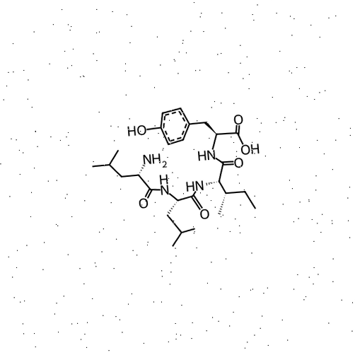 CC[C@H](C)[C@H](NC(=O)[C@H](CC(C)C)NC(=O)[C@@H](N)CC(C)C)C(=O)N[C@@H](Cc1ccc(O)cc1)C(=O)O